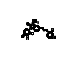 Cn1c(=O)n(C2CCC(=O)NC2=O)c2ccc(CCCN3CCNCC3=O)cc21